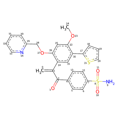 C=C(C(=O)c1ccc(S(N)(=O)=O)cc1)c1cc(-c2cccs2)c(OC)cc1OCc1ccccn1